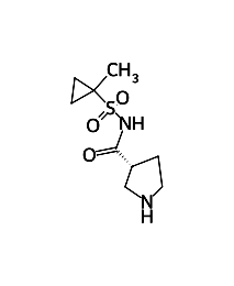 CC1(S(=O)(=O)NC(=O)[C@@H]2CCNC2)CC1